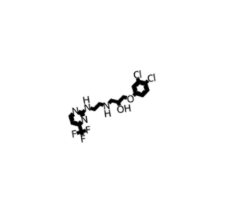 OC(CNCCNc1nccc(C(F)(F)F)n1)COc1ccc(Cl)c(Cl)c1